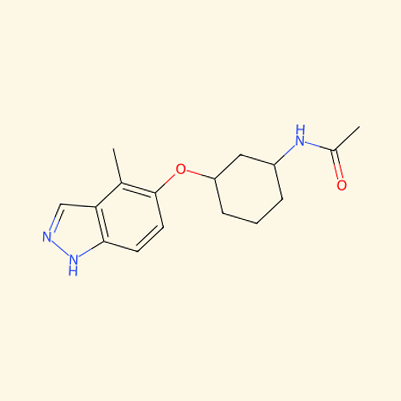 CC(=O)NC1CCCC(Oc2ccc3[nH]ncc3c2C)C1